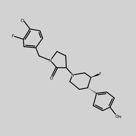 O=C1C(N2CC[C@@H](c3ccc(O)cc3)[C@H](F)C2)CCN1Cc1ccc(Cl)c(F)c1